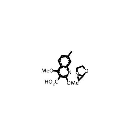 C1CN2CC2O1.COc1nc2cc(C)ccc2c(OC)c1C(=O)O